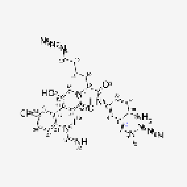 CN(/C=C1/C=C(NC(=O)C(CCCCN=[N+]=[N-])n2cc(O)c(-c3cc(Cl)ccc3N(I)C=N)cc2=O)C=CC1N)N=[N+]=[N-]